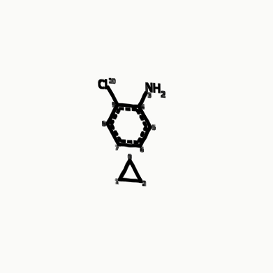 C1CC1.Nc1ccccc1Cl